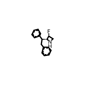 F[C@H]1CN[C@H]1C(Cc1ccccc1)c1ccccc1